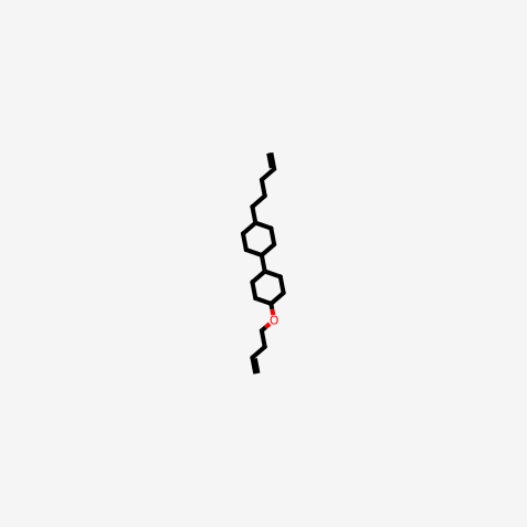 C=CCCCC1CCC(C2CCC(OCCC=C)CC2)CC1